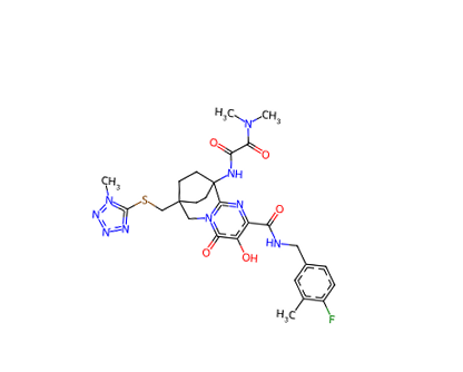 Cc1cc(CNC(=O)c2nc3n(c(=O)c2O)CC2(CSc4nnnn4C)CCC3(NC(=O)C(=O)N(C)C)CC2)ccc1F